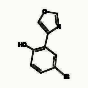 CCc1ccc(O)c(-c2cocn2)c1